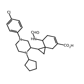 O=CNC1CC=C(C(=O)O)CC12CC2C1CN(c2ccc(Cl)cc2)CCN1C1CCCC1